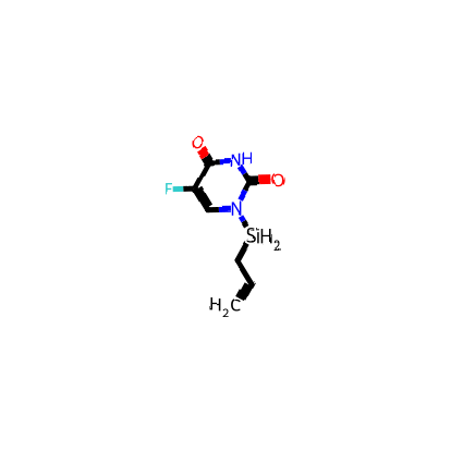 C=CC[SiH2]n1cc(F)c(=O)[nH]c1=O